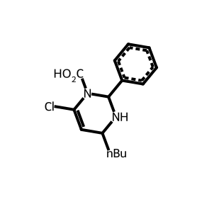 CCCCC1C=C(Cl)N(C(=O)O)C(c2ccccc2)N1